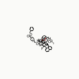 CC(C)[Si](C#Cc1cccc2cccc(-c3ncc4c(N5CC6CCC(C5)N6C(=O)O)nc(OCCN5CCN(C(=O)OCc6ccccc6)CC5)nc4c3F)c12)(C(C)C)C(C)C